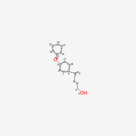 C=C(CCCO)c1ccc(Oc2ccccc2)cc1